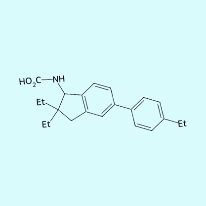 CCc1ccc(-c2ccc3c(c2)CC(CC)(CC)C3NC(=O)O)cc1